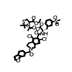 CC(=O)N1C(C(=O)OC(C)OC(=O)[C@H](Cc2cccc(S(C)(=O)=O)c2)NC(=O)c2c(Cl)cc3c(c2Cl)CCN(C(=O)c2ccc4ccoc4c2)C3)CSC1(C)C